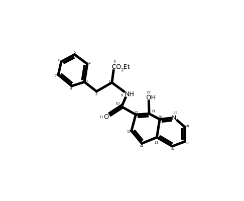 CCOC(=O)C(Cc1ccccc1)NC(=O)c1ccc2cccnc2c1O